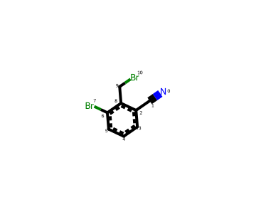 N#Cc1[c]ccc(Br)c1CBr